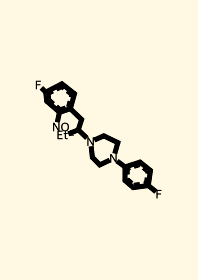 [CH2]CC(Cc1ccc(F)cc1[N+](=O)[O-])N1CCN(c2ccc(F)cc2)CC1